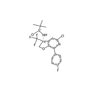 CC(C)(C)[S+]([O-])N[C@@]1(C(F)(F)F)COc2c1cc(Cl)nc2-c1ccc(F)cc1